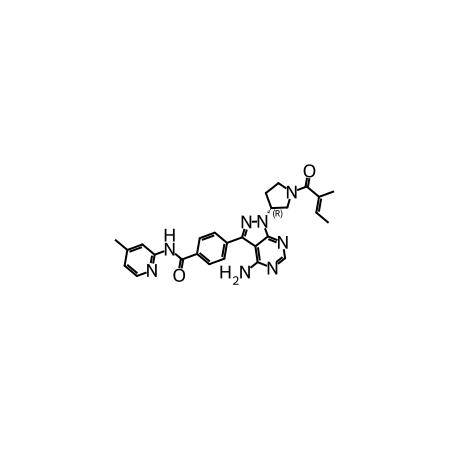 CC=C(C)C(=O)N1CC[C@@H](n2nc(-c3ccc(C(=O)Nc4cc(C)ccn4)cc3)c3c(N)ncnc32)C1